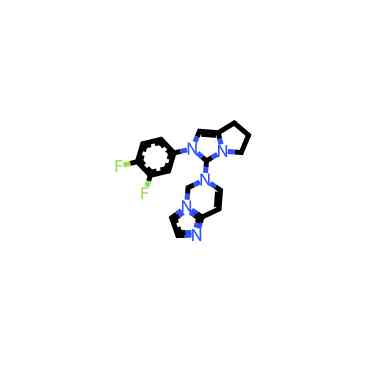 Fc1ccc(N2C=C3CCCN3C2N2C=Cc3nccn3C2)cc1F